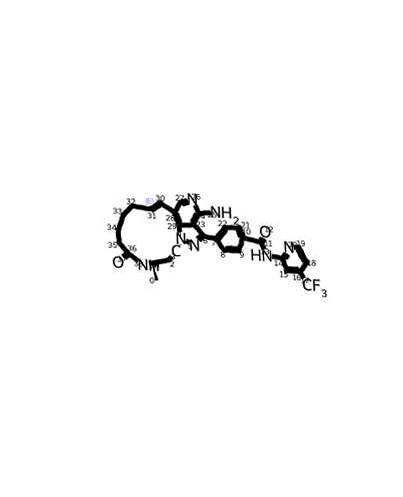 C[C@@H]1CCn2nc(-c3ccc(C(=O)Nc4cc(C(F)(F)F)ccn4)cc3)c3c(N)ncc(c32)/C=C/CCCCC(=O)N1